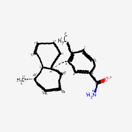 Cc1ccc(C(N)=O)cc1[C@@]12CCCCC1[C@@H](C)CCC2